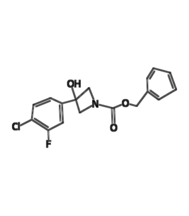 O=C(OCc1ccccc1)N1CC(O)(c2ccc(Cl)c(F)c2)C1